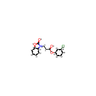 O=C(CCn1c(=O)oc2ccccc21)Oc1cccc(Cl)c1